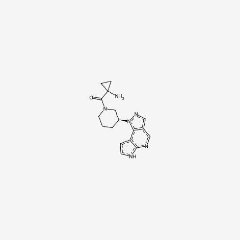 NC1(C(=O)N2CCC[C@H](n3ncc4cnc5[nH]ccc5c43)C2)CC1